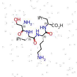 CC(C)C[C@H](NC(=O)[C@H](CCCCN)NC(=O)[C@H](CC(C)C)NC(=O)[C@@H](N)CO)C(=O)O